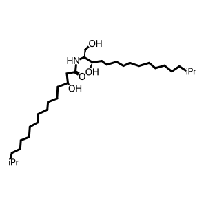 CC(C)CCCCCCCCCCC[C@@H](O)CC(=O)N[C@@H](CO)[C@H](O)CCCCCCCCCCCC(C)C